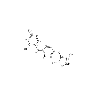 C[C@H]1CNC(=O)N1Cc1ccc(Oc2ccc(F)cc2F)nc1